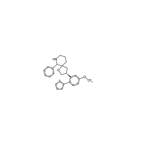 FC(F)(F)Oc1ccc(-c2cccs2)c([C@H]2COC3(CCCNC3c3ccccc3)C2)c1